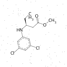 CC[C@@H](CC(=O)OC)Nc1cc(Cl)cc(Cl)c1